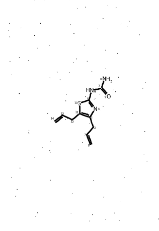 C=CCc1nc(NC(N)=O)sc1CC=C